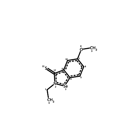 CCn1[se]c2ccc(OC)cc2c1=S